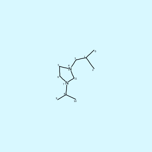 CC(C)CN1CCN(C(C)C)C1